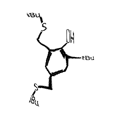 CCC(C)SCc1cc(CSC(C)CC)c(O)c(C(C)(C)C)c1